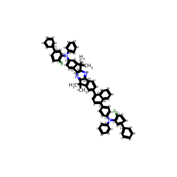 CC1(C)c2cc(-c3ccc(-c4ccc(N(c5ccccc5)c5cc(-c6ccccc6)ccc5F)cc4)c4ccccc34)ccc2-c2nc3c(nc21)-c1ccc(N(c2ccccc2)c2cc(-c4ccccc4)ccc2F)cc1C3(C)C